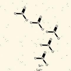 O=[N+]([O-])[O-].O=[N+]([O-])[O-].O=[N+]([O-])[O-].O=[N+]([O-])[O-].O=[N+]([O-])[O-].[La+3].[Sr+2]